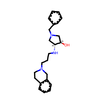 O[C@@H]1CN(Cc2ccccc2)C[C@H]1NCCCN1CCc2ccccc2C1